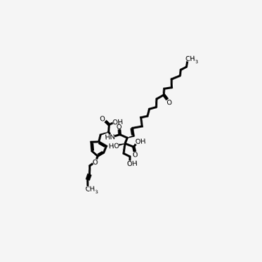 CC#CCOc1ccc(C[C@H](NC(=O)[C@@H](C=CCCCCCCC(=O)CCCCCCC)[C@@](O)(CCO)C(=O)O)C(=O)O)cc1